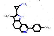 COc1ccc(-c2cc3c(cn2)CCc2c-3[nH]c(C3CC3N)c2C(=O)O)cc1